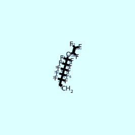 C=CC(F)(F)C(F)(F)C(F)(F)C(F)(F)C(F)(F)OC(F)=C(F)F